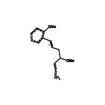 C=C=CC(C/C=C/c1ccccc1OC)OC